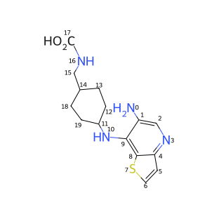 Nc1cnc2ccsc2c1NC1CCC(CNC(=O)O)CC1